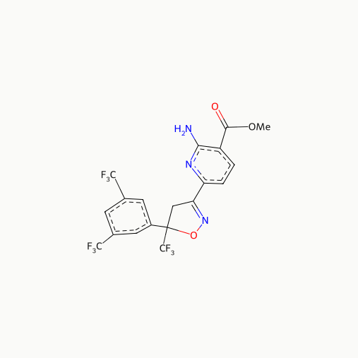 COC(=O)c1ccc(C2=NOC(c3cc(C(F)(F)F)cc(C(F)(F)F)c3)(C(F)(F)F)C2)nc1N